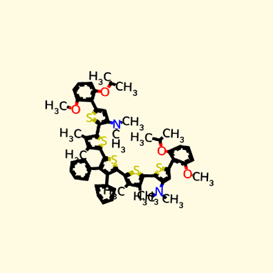 COc1cccc(OC(C)C)c1-c1cc(N(C)C)c(-c2sc(-c3sc(-c4sc(-c5sc(-c6c(OC)cccc6OC(C)C)cc5N(C)C)c(C)c4C)c(-c4ccccc4)c3-c3ccccc3)c(C)c2C)s1